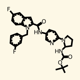 CC(C)(C)OC(=O)NC1CCCN1c1ccc(NC(=O)c2cc3cc(F)ccc3n2Cc2cccc(F)c2)cn1